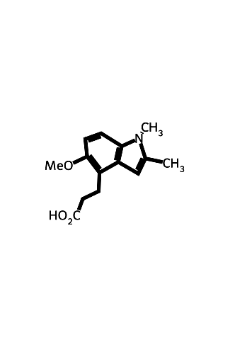 COc1ccc2c(cc(C)n2C)c1CCC(=O)O